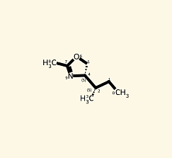 CC[C@H](C)[C@H]1COC(C)=N1